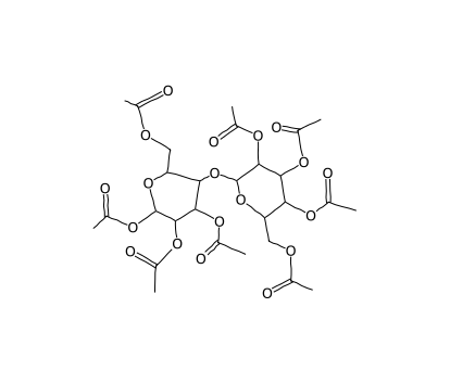 CC(=O)OCC1OC(OC2C(COC(C)=O)OC(OC(C)=O)C(OC(C)=O)C2OC(C)=O)C(OC(C)=O)C(OC(C)=O)C1OC(C)=O